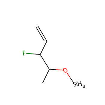 C=CC(F)C(C)O[SiH3]